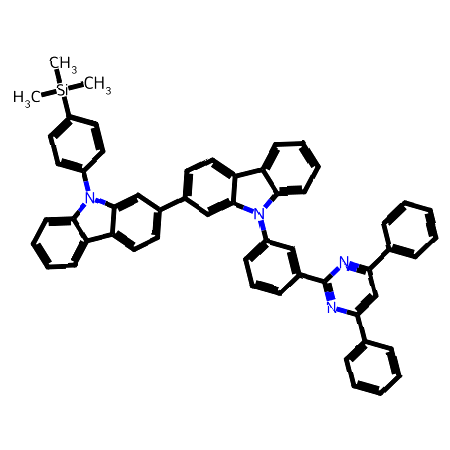 C[Si](C)(C)c1ccc(-n2c3ccccc3c3ccc(-c4ccc5c6ccccc6n(-c6cccc(-c7nc(-c8ccccc8)cc(-c8ccccc8)n7)c6)c5c4)cc32)cc1